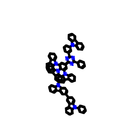 c1ccc(-c2nc(-c3cccc(-n4c5ccccc5c5ccccc54)c3)nc(-c3cc(-n4c5ccccc5c5ccccc54)c(-n4c5ccccc5c5cc(-n6c7ccccc7c7cc(-c8ccc9c(c8)c8ccccc8n9-c8ccccc8)ccc76)ccc54)c(-n4c5ccccc5c5ccccc54)c3)n2)cc1